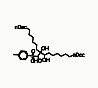 CCCCCCCCCCCCCCCCC(O)C(O)(CCCCCCCCCCCCCCCC)C(O)S(=O)(=O)c1ccc(C)cc1